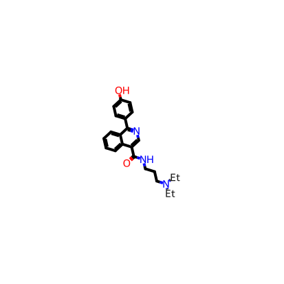 CCN(CC)CCCNC(=O)c1cnc(-c2ccc(O)cc2)c2ccccc12